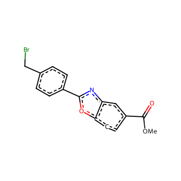 COC(=O)c1ccc2oc(-c3ccc(CBr)cc3)nc2c1